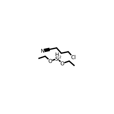 CCO[SiH2]OCC.N#CCCCCl